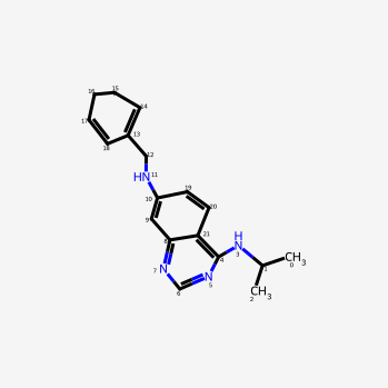 CC(C)Nc1ncnc2cc(NCC3=C[CH]CC=C3)ccc12